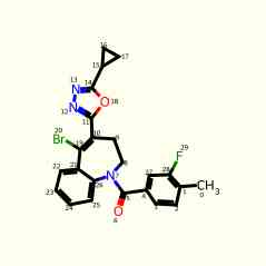 Cc1ccc(C(=O)N2CCC(c3nnc(C4CC4)o3)=C(Br)c3ccccc32)cc1F